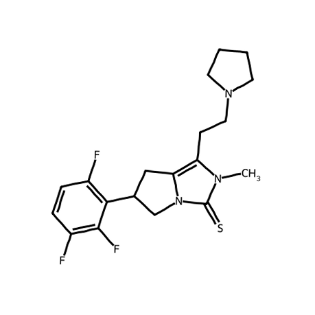 Cn1c(CCN2CCCC2)c2n(c1=S)CC(c1c(F)ccc(F)c1F)C2